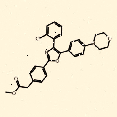 COC(=O)Cc1ccc(-c2nc(-c3ccccc3Cl)c(-c3ccc(N4CCOCC4)cc3)o2)cc1